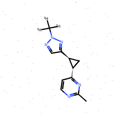 [2H]C([2H])([2H])n1ncc([C@H]2C[C@@H]2c2ccnc(C)n2)n1